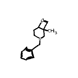 CC12COC1CCN(Cc1ccccc1)C2